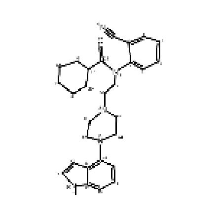 N#Cc1ccccc1N(CCN1CCN(c2cccc3[nH]ccc23)CC1)C(=O)C1CCCCC1